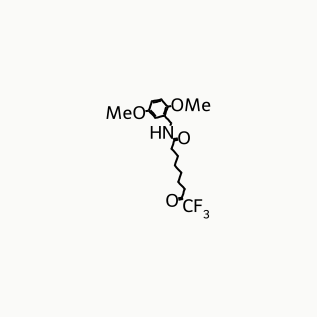 COc1ccc(OC)c(CNC(=O)CCCCCCC(=O)C(F)(F)F)c1